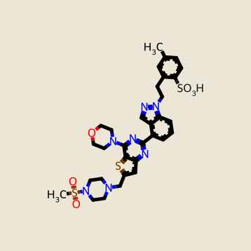 Cc1ccc(S(=O)(=O)O)c(CCn2ncc3c(-c4nc(N5CCOCC5)c5sc(CN6CCN(S(C)(=O)=O)CC6)cc5n4)cccc32)c1